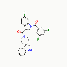 O=C(c1cn(C(=O)c2cc(F)cc(F)c2)c2cc(Cl)ccc12)N1CCC2(CC1)CNc1ccccc12